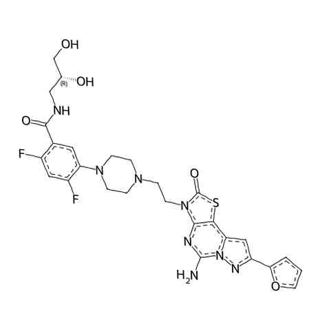 Nc1nc2c(sc(=O)n2CCN2CCN(c3cc(C(=O)NC[C@@H](O)CO)c(F)cc3F)CC2)c2cc(-c3ccco3)nn12